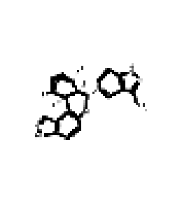 Nc1n[nH]c2ccc([C@@H]3Nc4ccc5[nH]ncc5c4[C@@H]4[C@H]3[C@@H]3C=C[C@@H]4C3)cc12